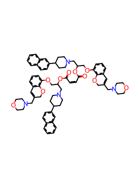 O=C(/C=C\C(=O)OC(COc1cccc2c1OCC(CN1CCOCC1)=C2)CN1CCC(c2ccc3ccccc3c2)CC1)OC(COc1cccc2c1OCC(CN1CCOCC1)=C2)CN1CCC(c2ccc3ccccc3c2)CC1